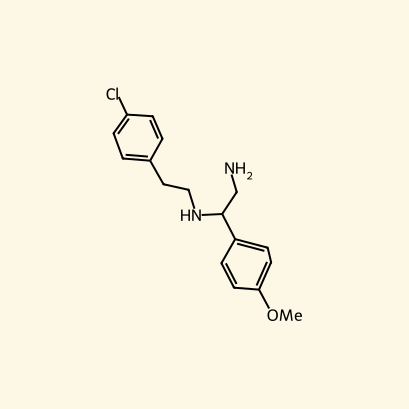 COc1ccc(C(CN)NCCc2ccc(Cl)cc2)cc1